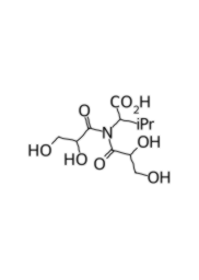 CC(C)C(C(=O)O)N(C(=O)C(O)CO)C(=O)C(O)CO